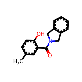 Cc1ccc(O)c(C(=O)N2Cc3ccccc3C2)c1